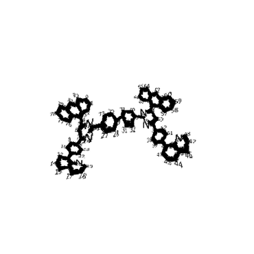 c1ccc2c(-c3cc(-c4ccc(-c5cccc6cccnc56)cc4)nc(-c4ccc(-c5ccc(-c6nc(-c7ccc(-c8cccc9cccnc89)cc7)cc(-c7c8ccccc8cc8ccccc78)n6)cc5)cc4)n3)c3ccccc3cc2c1